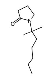 CCCCCC(C)(C)N1CCCC1=O